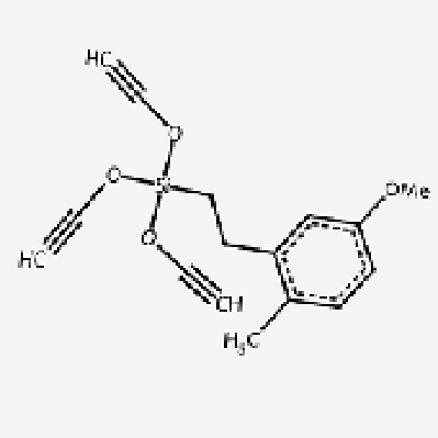 C#CO[Si](CCc1cc(OC)ccc1C)(OC#C)OC#C